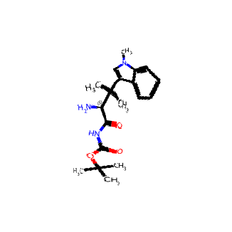 Cn1cc(C(C)(C)[C@H](N)C(=O)NC(=O)OC(C)(C)C)c2ccccc21